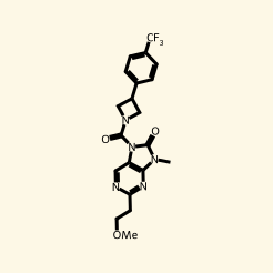 COCCc1ncc2c(n1)n(C)c(=O)n2C(=O)N1CC(c2ccc(C(F)(F)F)cc2)C1